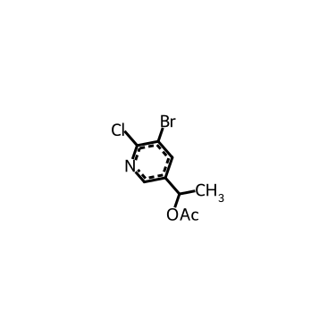 CC(=O)OC(C)c1cnc(Cl)c(Br)c1